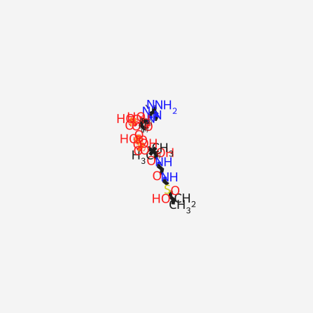 C=C(C)C(O)C(=O)SCCNC(=O)CCNC(=O)[C@H](O)C(C)(C)COP(=O)(O)OP(=O)(O)OC[C@H]1O[C@@H](n2cnc3c(N)ncnc32)[C@H](O)[C@@H]1OP(=O)(O)O